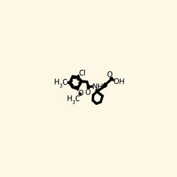 COc1cc(C)cc(Cl)c1CC(=O)NC1(C#CC(=O)O)CCCCC1